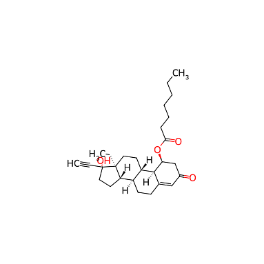 C#C[C@]1(O)CC[C@H]2[C@@H]3CCC4=CC(=O)C[C@H](OC(=O)CCCCCC)[C@@H]4[C@H]3CC[C@@]21CC